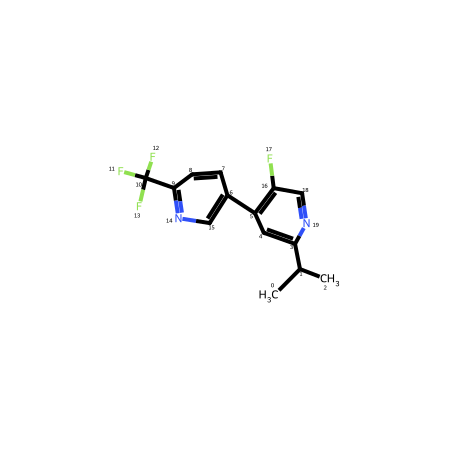 CC(C)c1cc(-c2ccc(C(F)(F)F)nc2)c(F)cn1